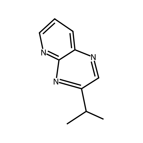 CC(C)c1cnc2cccnc2n1